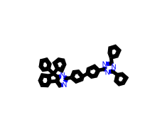 c1ccc(-c2nc(-c3ccccc3)nc(-c3ccc(-c4ccc(-c5ncc6c(n5)C(c5ccccc5)(c5ccccc5)c5ccccc5-6)cc4)cc3)n2)cc1